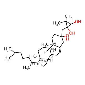 CC(C)CCC[C@@H](C)[C@H]1CC[C@H]2[C@@H]3CC=C4CC(O)(CC5(O)C(O)C5(C)C)CC[C@]4(C)[C@H]3CC[C@]12C